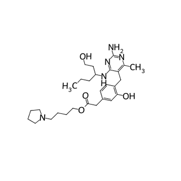 CCCC(CCO)Nc1nc(N)nc(C)c1Cc1ccc(CC(=O)OCCCCN2CCCC2)cc1O